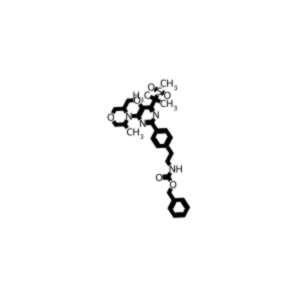 CC1COCC2COc3c(nc(-c4ccc(CCNC(=O)OCc5ccccc5)cc4)nc3C(C)(C)S(C)(=O)=O)N12